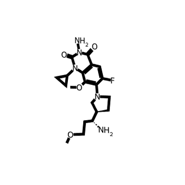 COCC[C@@H](N)[C@@H]1CCN(c2c(F)cc3c(=O)n(N)c(=O)n(C4CC4)c3c2OC)C1